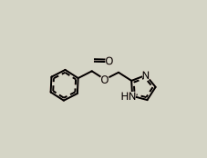 C=O.c1ccc(COCc2ncc[nH]2)cc1